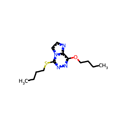 CCCCOc1nnc(SCCCC)n2ccnc12